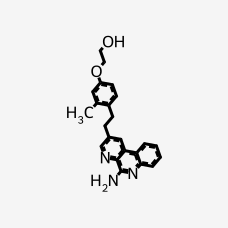 Cc1cc(OCCO)ccc1CCc1cnc2c(N)nc3ccccc3c2c1